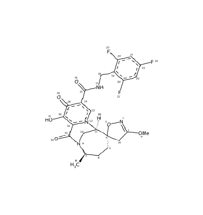 COC1=NO[C@@]2(CC[C@@H](C)N3C[C@H]2n2cc(C(=O)NCc4c(F)cc(F)cc4F)c(=O)c(O)c2C3=O)C1